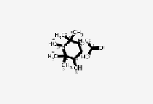 CC(=O)O.CC1(C)CCC(O)C(C)(C)N1O